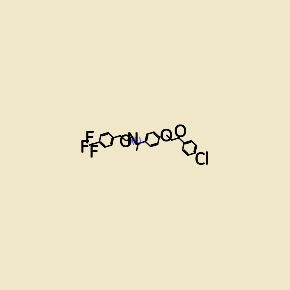 C/C(=N\OCc1ccc(C(F)(F)F)cc1)c1ccc(OCC(=O)c2ccc(Cl)cc2)cc1